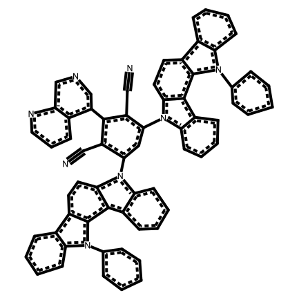 N#Cc1c(-n2c3ccccc3c3c2ccc2c4ccccc4n(-c4ccccc4)c23)cc(-n2c3ccccc3c3c2ccc2c4ccccc4n(-c4ccccc4)c23)c(C#N)c1-c1cncc2ncccc12